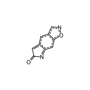 O=C1C=c2cc3cnoc3cc2=N1